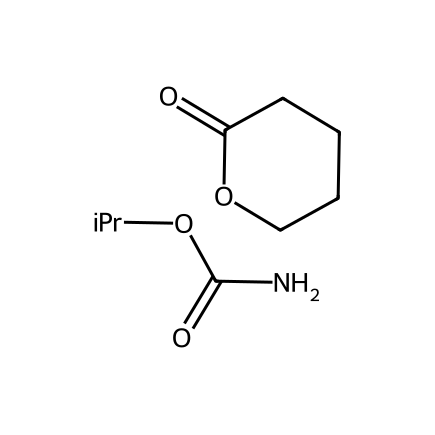 CC(C)OC(N)=O.O=C1CCCCO1